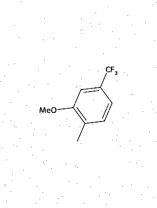 COc1cc(C(F)(F)F)ccc1C